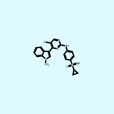 Cn1cc(-c2nc(Nc3ccc(S(=N)(=O)C4CC4)cc3)ncc2Cl)c2ccccc21